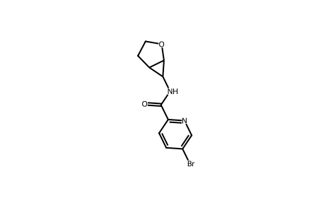 O=C(NC1C2CCOC21)c1ccc(Br)cn1